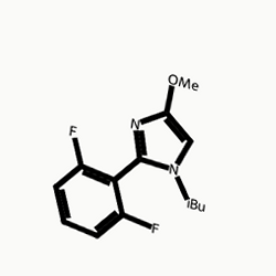 CCC(C)n1cc(OC)nc1-c1c(F)cccc1F